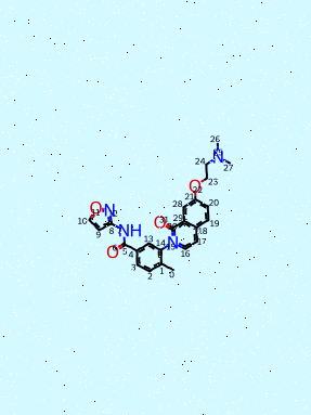 Cc1ccc(C(=O)Nc2ccon2)cc1-n1ccc2ccc(OCCN(C)C)cc2c1=O